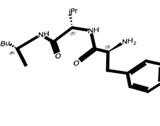 CCCC[C@@H](C)NC(=O)[C@@H](NC(=O)[C@@H](N)Cc1ccccc1)C(C)C